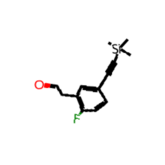 C[Si](C)(C)C#Cc1ccc(F)c(CC=O)c1